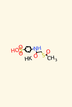 CC(=O)SCC(=O)Nc1ccc(S(=O)(=O)O)cc1.[KH]